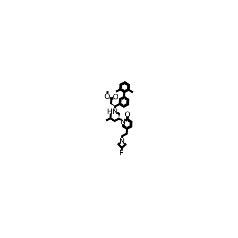 COC(=O)C[C@H](NC[C@H](CC(C)C)n1cc(CCN2CC(F)C2)ccc1=O)c1cccc(-c2c(C)cccc2C)c1